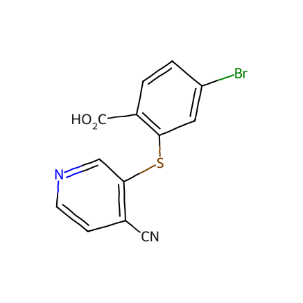 N#Cc1ccncc1Sc1cc(Br)ccc1C(=O)O